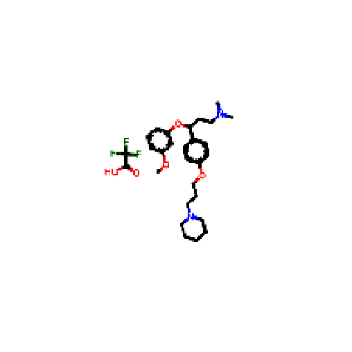 COc1cccc(OC(CCN(C)C)c2ccc(OCCCN3CCCCC3)cc2)c1.O=C(O)C(F)(F)F